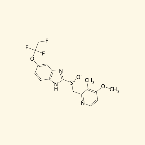 COc1ccnc(C[S+]([O-])c2nc3cc(OC(F)(F)CF)ccc3[nH]2)c1C